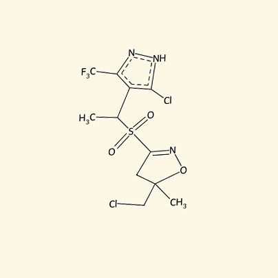 CC(c1c(C(F)(F)F)n[nH]c1Cl)S(=O)(=O)C1=NOC(C)(CCl)C1